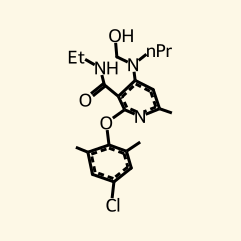 CCCN(CO)c1cc(C)nc(Oc2c(C)cc(Cl)cc2C)c1C(=O)NCC